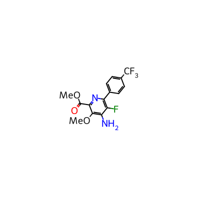 COC(=O)c1nc(-c2ccc(C(F)(F)F)cc2)c(F)c(N)c1OC